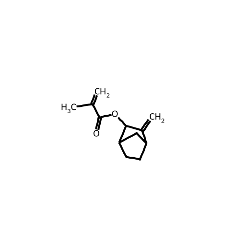 C=C(C)C(=O)OC1C(=C)C2CCC1C2